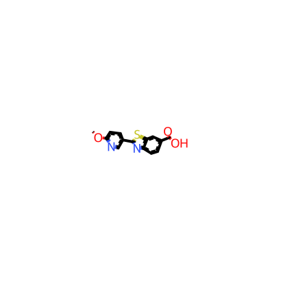 COc1ccc(-c2nc3ccc(C(=O)O)cc3s2)cn1